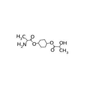 CC(N)C(=O)OC1CCC(OC(=O)C(C)O)CC1